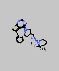 CC1(C)CCCN1NCC1CCN(c2ncnc3scc(-c4ccccc4)c23)C1